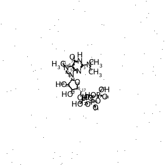 CN(C)c1nc2c(c(=O)[nH]1)N(C)CN2[C@@H]1O[C@H](COP(=O)(O)OP(=O)(O)OP(=O)(O)O)[C@@H](O)[C@H]1O